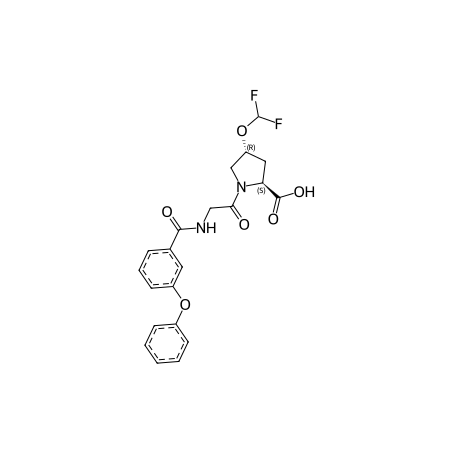 O=C(NCC(=O)N1C[C@H](OC(F)F)C[C@H]1C(=O)O)c1cccc(Oc2ccccc2)c1